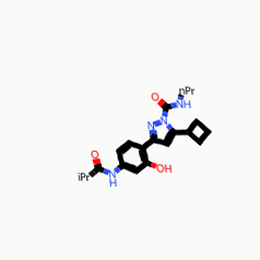 CCCNC(=O)n1nc(-c2ccc(NC(=O)C(C)C)cc2O)cc1C1CCC1